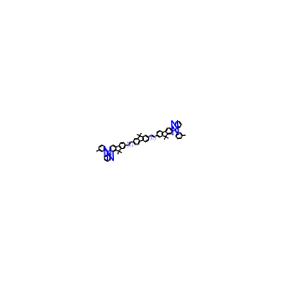 Cc1cccc(N(c2ccc3c(c2)C(C)(C)c2cc(/C=C/c4ccc5c(c4)C(C)(C)c4cc(/C=C/c6ccc7c(c6)C(C)(C)c6cc(N(c8cccc(C)c8)c8ccccn8)ccc6-7)ccc4-5)ccc2-3)c2ccccn2)c1